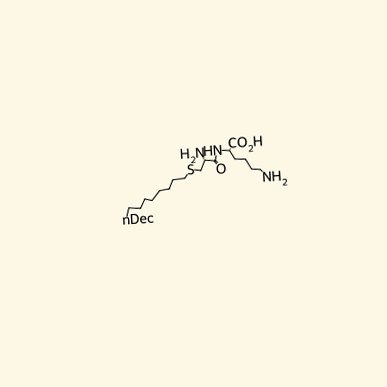 CCCCCCCCCCCCCCCCCCSC[C@H](N)C(=O)N[C@@H](CCCCN)C(=O)O